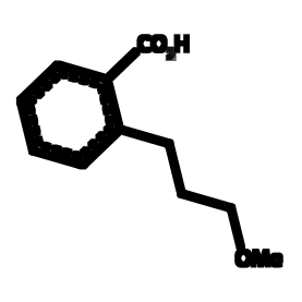 COCCCc1ccccc1C(=O)O